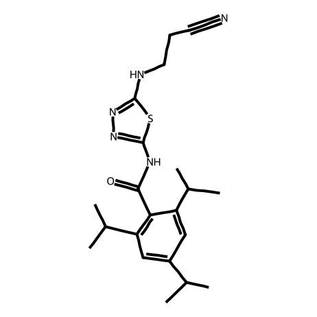 CC(C)c1cc(C(C)C)c(C(=O)Nc2nnc(NCCC#N)s2)c(C(C)C)c1